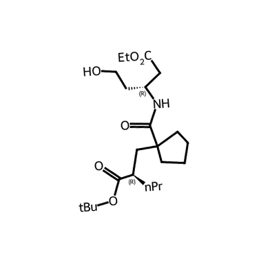 CCC[C@H](CC1(C(=O)N[C@H](CCO)CC(=O)OCC)CCCC1)C(=O)OC(C)(C)C